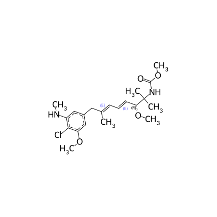 CNc1cc(C/C(C)=C/C=C/[C@@H](OC)C(C)(C)NC(=O)OC)cc(OC)c1Cl